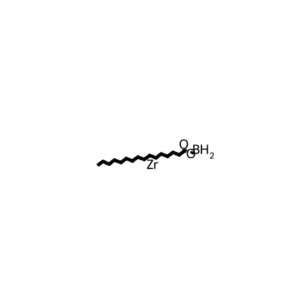 BOC(=O)CCCCCCCCCCCCCCC.[Zr]